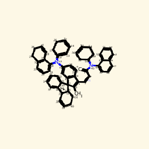 C=C(/C=C\C1=C(C)C2(c3cc(N(C4=CC=CCC4)c4cccc5c4C=CCC5)ccc31)c1ccccc1C1C=CCC[C@@H]12)N(c1cccc2ccccc12)C1CC=CCC1